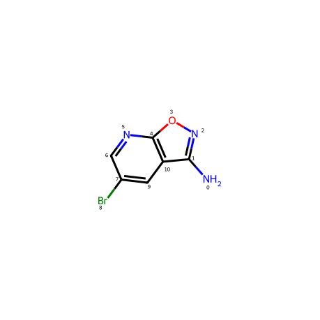 Nc1noc2ncc(Br)cc12